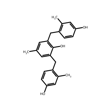 Cc1cc(Cc2ccc(O)cc2C)c(O)c(Cc2ccc(O)cc2C)c1